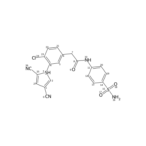 N#CC1=C[SH](c2cc(CC(=O)Nc3ccc(S(N)(=O)=O)cc3)ccc2Cl)C(C#N)=C1